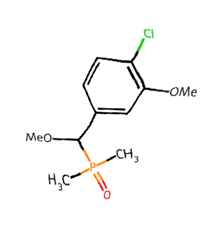 COc1cc(C(OC)P(C)(C)=O)ccc1Cl